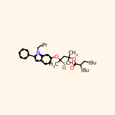 CC(C)Cn1c(-c2ccccc2)cc2ccc(OC(C)(S)CC(C)(C)OC(=O)C(CC(C)(C)C)C(C)(C)C)cc21